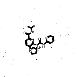 CC(C)NC(=O)c1ccc2c(n1)N(C(=O)Nc1ccccn1)[C@H]1CCN2C1